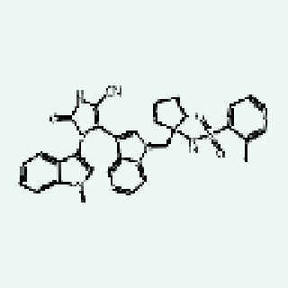 Cc1ccccc1S(=O)(=O)NC1(Cn2cc(-c3c(C#N)[nH]c(=O)n3-c3cn(C)c4ccccc34)c3ccccc32)CCCC1